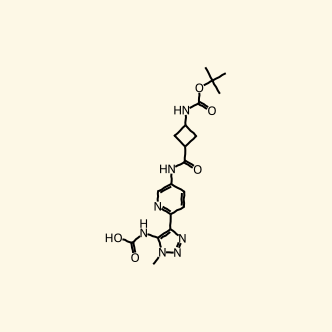 Cn1nnc(-c2ccc(NC(=O)C3CC(NC(=O)OC(C)(C)C)C3)cn2)c1NC(=O)O